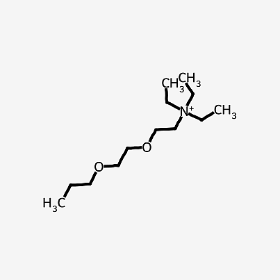 CCCOCCOCC[N+](CC)(CC)CC